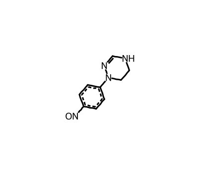 O=Nc1ccc(N2CCNC=N2)cc1